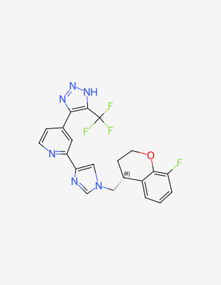 Fc1cccc2c1OCC[C@H]2Cn1cnc(-c2cc(-c3nn[nH]c3C(F)(F)F)ccn2)c1